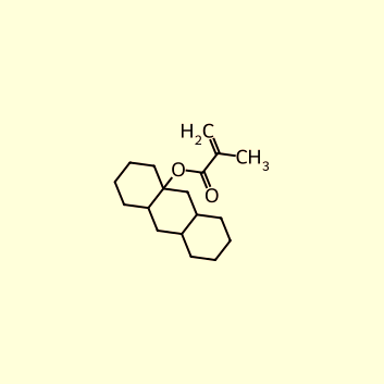 C=C(C)C(=O)OC12CCCCC1CC1CCCCC1C2